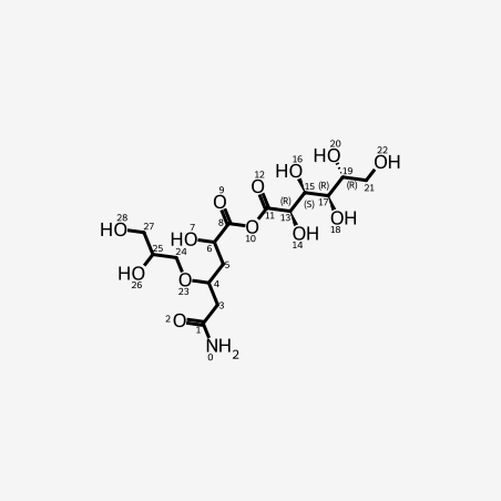 NC(=O)CC(CC(O)C(=O)OC(=O)[C@H](O)[C@@H](O)[C@H](O)[C@H](O)CO)OCC(O)CO